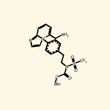 CC(C)(C)OC(=O)N(CCc1ccc([N+]23C=CN=C2C=CC=C3CN)cc1)S(=O)(=O)C(F)(F)F